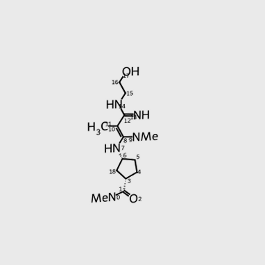 CNC(=O)[C@H]1CC[C@@H](N/C(NC)=C(\C)C(=N)NCCO)C1